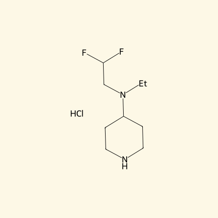 CCN(CC(F)F)C1CCNCC1.Cl